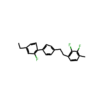 CCc1ccc(-c2ccc(CCc3ccc(C)c(F)c3F)cc2)c(F)c1